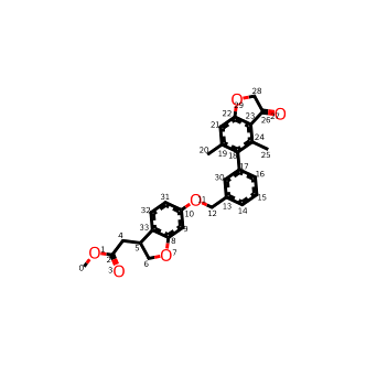 COC(=O)CC1COc2cc(OCc3cccc(-c4c(C)cc5c(c4C)C(=O)CO5)c3)ccc21